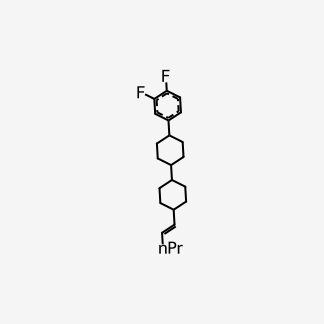 CCCC=CC1CCC(C2CCC(c3ccc(F)c(F)c3)CC2)CC1